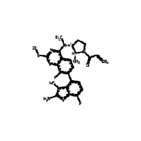 C=CC(=O)N1CC[C@@H](N(C)c2nc(OCC)nc3c(F)c(-c4ccc(F)c5sc(N)c(C#N)c45)ccc23)[C@H]1C